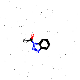 CCC(=O)n1nnc2ccccc21